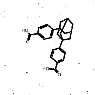 O=C(O)c1ccc(C23CC4CC(C2)CC(c2ccc(C(=O)O)cc2)(C4)C3)cc1